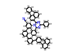 N#Cc1ccc(-c2ccccc2-c2nc(-c3ccccc3)nc(-c3ccc4c5c(cccc35)-c3ccccc3-4)n2)c(-c2cccc(-c3cccc(-c4ccc5c(c4)-c4cccc6cccc-5c46)c3)c2)c1